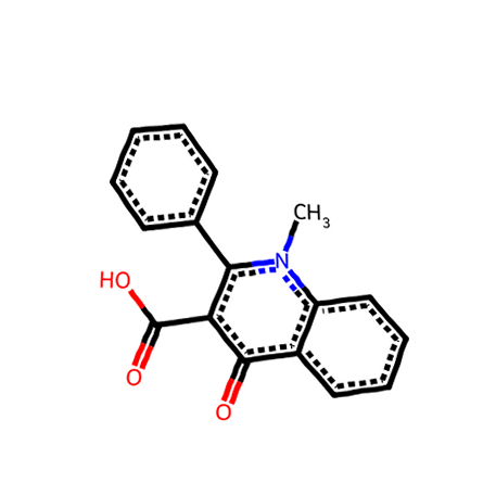 Cn1c(-c2ccccc2)c(C(=O)O)c(=O)c2ccccc21